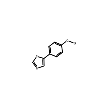 CCOc1ccc(-c2cncs2)cc1